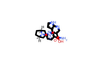 NC(=O)c1cnc2[nH]ccc2c1N[C@@H]1C[C@H]2CC[C@@H](C1)N2c1ccc(CO)cn1